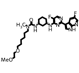 COCCOCCCCCCN(C)C(=O)N[C@H]1CCC[C@@H](Nc2nc(-c3c[nH]c4ncc(F)cc34)ncc2F)C1